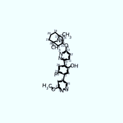 COc1cc(-c2cc(O)c(-c3ccc(O[C@@H]4C[C@]5(C)CCC[C@](C)(C4)N5)nn3)cc2F)cnn1